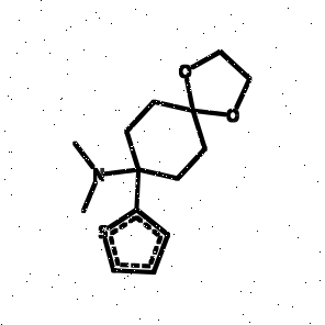 CN(C)C1(c2cccs2)CCC2(CC1)OCCO2